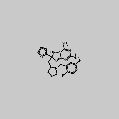 NC1=NC2=NC(CC3CCCN3Cc3cc(F)ccc3F)(c3ccco3)NN2C(N)=N1